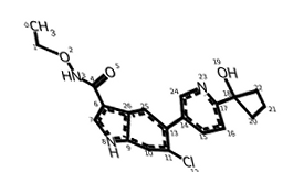 CCONC(=O)c1c[nH]c2cc(Cl)c(-c3ccc(C4(O)CCC4)nc3)cc12